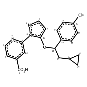 O=C(O)c1ccnc(-n2nccc2OC(CC2CC2)c2ccc(Cl)cc2)c1